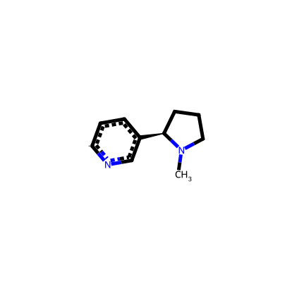 CN1CCC[C@@H]1c1cc[c]nc1